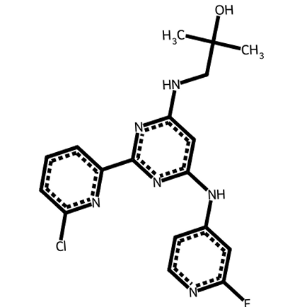 CC(C)(O)CNc1cc(Nc2ccnc(F)c2)nc(-c2cccc(Cl)n2)n1